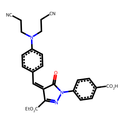 CCOC(=O)C1=NN(c2ccc(C(=O)O)cc2)C(=O)C1=Cc1ccc(N(CCC#N)CCC#N)cc1